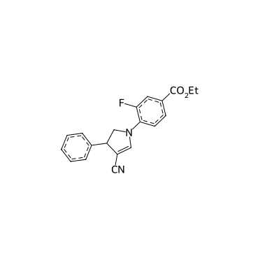 CCOC(=O)c1ccc(N2C=C(C#N)C(c3ccccc3)C2)c(F)c1